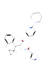 Cn1nccc1C(=O)N[C@H](C(=O)Nc1ccc(N2CCCCC2)nc1)C(c1ccccc1Cl)C1(C)CC1